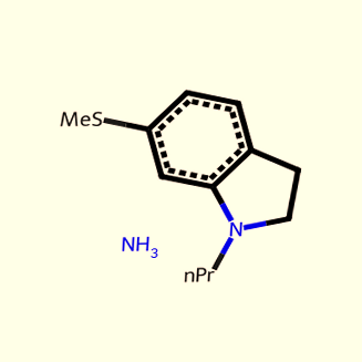 CCCN1CCc2ccc(SC)cc21.N